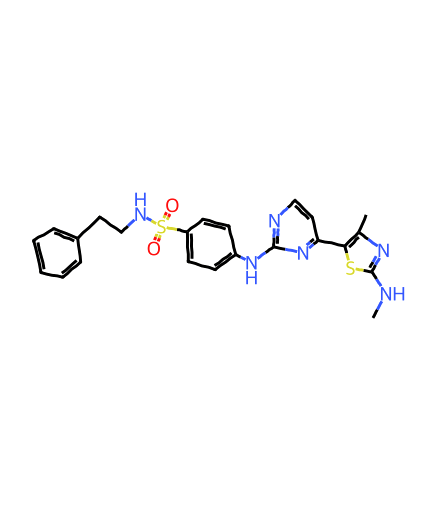 CNc1nc(C)c(-c2ccnc(Nc3ccc(S(=O)(=O)NCCc4ccccc4)cc3)n2)s1